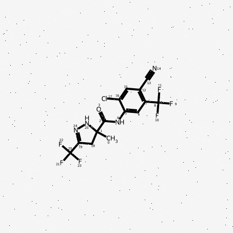 CC1(C(=O)Nc2cc(C(F)(F)F)c(C#N)cc2Cl)CC(C(F)(F)F)=NN1